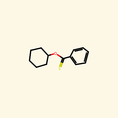 S=C(OC1CCCCC1)c1ccccc1